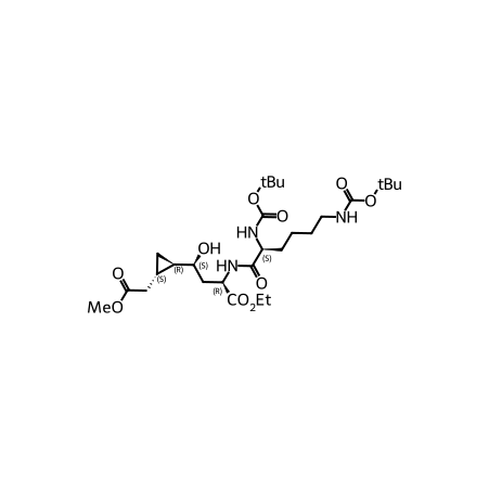 CCOC(=O)[C@@H](C[C@H](O)[C@@H]1C[C@H]1CC(=O)OC)NC(=O)[C@H](CCCCNC(=O)OC(C)(C)C)NC(=O)OC(C)(C)C